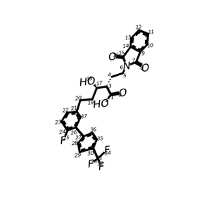 O=C(O)[C@@H](CCN1C(=O)c2ccccc2C1=O)[C@H](O)CCc1ccc(F)c(-c2ccc(C(F)(F)F)cc2)c1